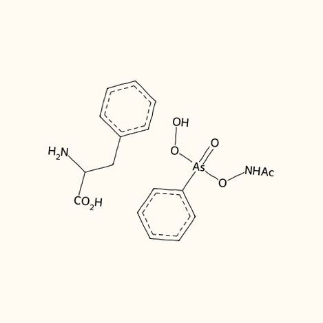 CC(=O)NO[As](=O)(OO)c1ccccc1.NC(Cc1ccccc1)C(=O)O